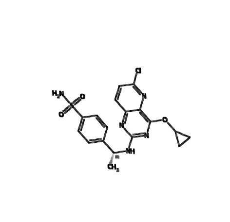 C[C@@H](Nc1nc(OC2CC2)c2nc(Cl)ccc2n1)c1ccc(S(N)(=O)=O)cc1